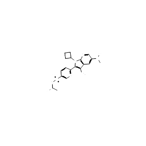 C[C@H](NS(=O)(=O)c1ccc(-c2c(C#N)c3cc([S+](C)[O-])cnc3n2C2CCC2)nc1)C(F)(F)F